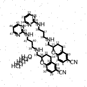 Cl.Cl.Cl.Cl.N#Cc1ccc2c(c1)CCC(CNCCCNc1ncccn1)O2.N#Cc1ccc2c(c1)CCC(CNCCCNc1ncccn1)O2.O